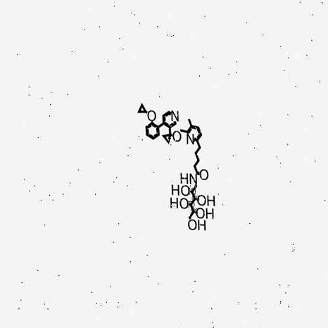 Cc1ccc(CCCCC(=O)NC[C@H](O)[C@@H](O)[C@H](O)[C@H](O)CO)nc1COC1(c2cnccc2-c2ccccc2OC2CC2)CC1